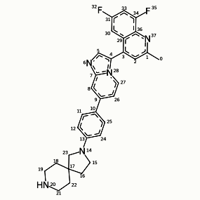 Cc1cc(-c2cnc3cc(-c4ccc(N5CCC6(CCNCC6)C5)cc4)ccn23)c2cc(F)cc(F)c2n1